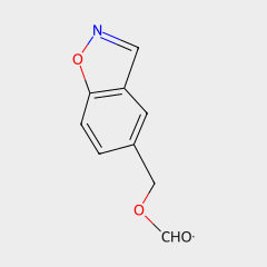 O=[C]OCc1ccc2oncc2c1